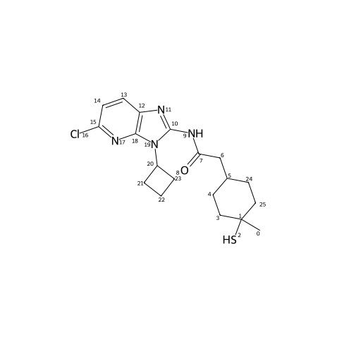 CC1(S)CCC(CC(=O)Nc2nc3ccc(Cl)nc3n2C2CCC2)CC1